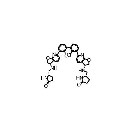 O=C1CC[C@H](CN[C@H]2COc3nc(-c4cccc(-c5cccc(-c6ccc7c(n6)OC[C@@H]7NC[C@@H]6CCC(=O)N6)c5Cl)c4Cl)ccc32)N1